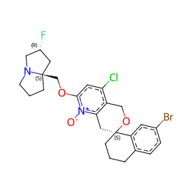 [O-][n+]1c(OC[C@@]23CCCN2C[C@H](F)C3)cc(Cl)c2c1C[C@]1(CCCc3ccc(Br)cc31)OC2